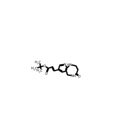 CC(C)(C)OC(=O)C=Cc1cnc2c(c1)CNC(=O)CCN2